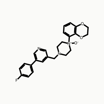 [O-][N+]1(c2cccc3c2OCCO3)CCN(Cc2cncc(-c3ccc(F)cc3)c2)CC1